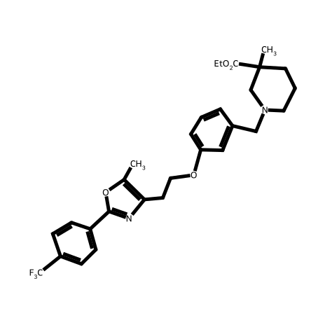 CCOC(=O)C1(C)CCCN(Cc2cccc(OCCc3nc(-c4ccc(C(F)(F)F)cc4)oc3C)c2)C1